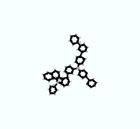 c1ccc(-c2ccc(N(c3ccc(-c4cccc(-c5ccccc5)c4)cc3)c3cccc(-c4cccc5c4c4ccc6ccccc6c4n5-c4ccccc4)c3)cc2)cc1